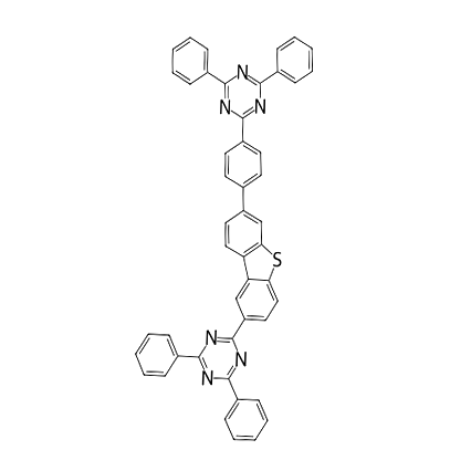 c1ccc(-c2nc(-c3ccccc3)nc(-c3ccc(-c4ccc5c(c4)sc4ccc(-c6nc(-c7ccccc7)nc(-c7ccccc7)n6)cc45)cc3)n2)cc1